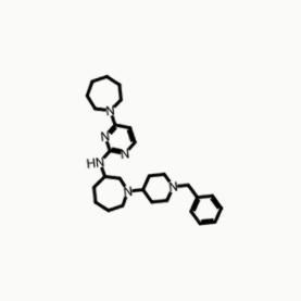 c1ccc(CN2CCC(N3CCCCC(Nc4nccc(N5CCCCCC5)n4)C3)CC2)cc1